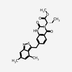 CC[C@@H](C(=O)OC)n1c(=O)[nH]c2cc(Cc3snc4cc(C)cc(C)c34)ccc2c1=O